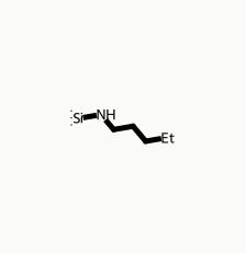 CCCCCN[Si]